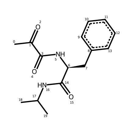 CC(=O)C(=O)N[C@@H](Cc1ccccc1)C(=O)NC(C)C